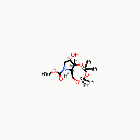 CC(C)[Si]1(C(C)C)OC[C@@H]2[C@@H](O[Si](C(C)C)(C(C)C)O1)[C@@H](O)CN2C(=O)OC(C)(C)C